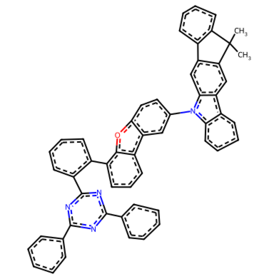 CC1(C)c2ccccc2-c2cc3c(cc21)c1ccccc1n3-c1ccc2oc3c(-c4ccccc4-c4nc(-c5ccccc5)nc(-c5ccccc5)n4)cccc3c2c1